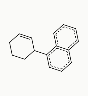 C1=CC(c2cccc3ccccc23)CCC1